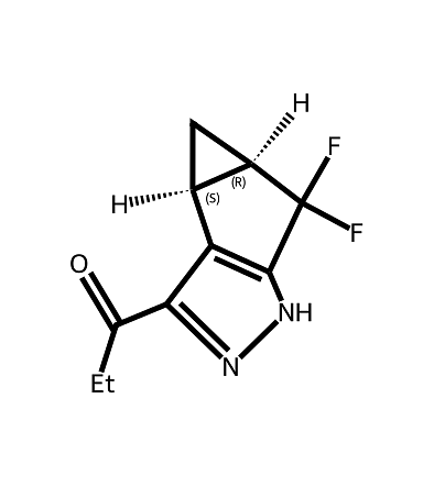 CCC(=O)c1n[nH]c2c1[C@H]1C[C@H]1C2(F)F